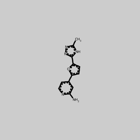 Cc1nnc(-c2ccc(-c3ccnc(N)c3)o2)[nH]1